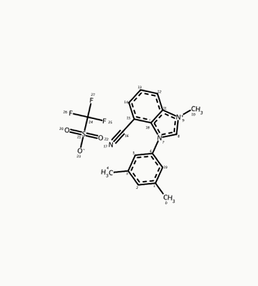 Cc1cc(C)cc(-n2c[n+](C)c3cccc(C#N)c32)c1.O=S(=O)([O-])C(F)(F)F